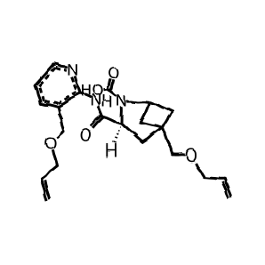 C=CCOCc1cccnc1NC(=O)[C@@H]1CC2(COCC=C)CC(C2)N1C(=O)O